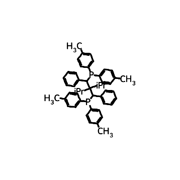 Cc1ccc(P(c2ccc(C)cc2)C(c2ccccc2)C(C(C)C)(C(C)C)C(c2ccccc2)P(c2ccc(C)cc2)c2ccc(C)cc2)cc1